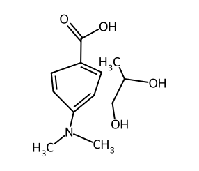 CC(O)CO.CN(C)c1ccc(C(=O)O)cc1